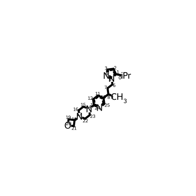 CC(C)c1ccnn1CCC(C)c1ccc(N2CCN(C3COC3)CC2)nc1